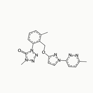 Cc1ccc(-n2ccc(OCc3c(C)cccc3-n3nnn(C)c3=O)n2)nn1